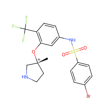 C[C@@]1(Oc2cc(NS(=O)(=O)c3ccc(Br)cc3)ccc2C(F)(F)F)CCNC1